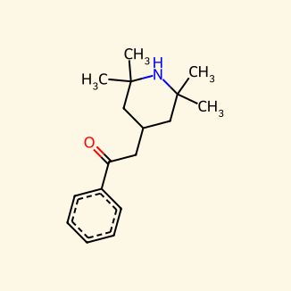 CC1(C)CC(CC(=O)c2ccccc2)CC(C)(C)N1